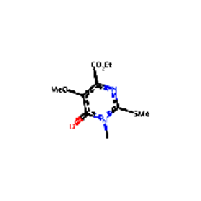 CCOC(=O)c1nc(SC)n(C)c(=O)c1OC